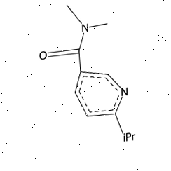 CC(C)c1ccc(C(=O)N(C)C)cn1